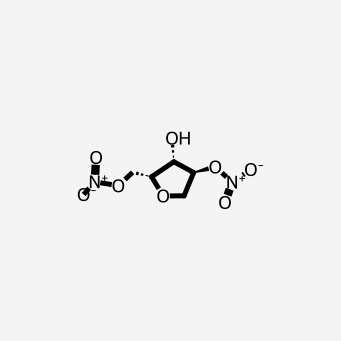 O=[N+]([O-])OC[C@H]1OC[C@H](O[N+](=O)[O-])[C@H]1O